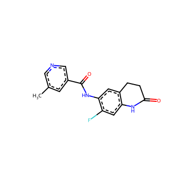 Cc1cncc(C(=O)Nc2cc3c(cc2F)NC(=O)CC3)c1